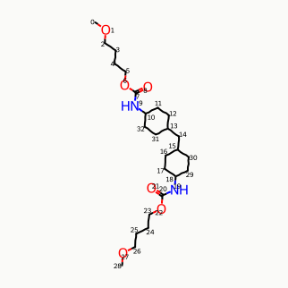 COCCCCOC(=O)NC1CCC(CC2CCC(NC(=O)OCCCCOC)CC2)CC1